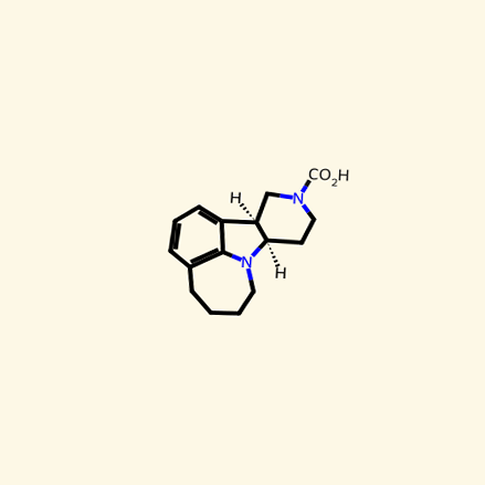 O=C(O)N1CC[C@@H]2[C@H](C1)c1cccc3c1N2CCCC3